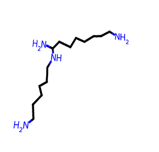 NCCCCCCCC(N)NCCCCCCN